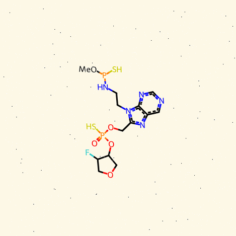 COP(S)NCCn1c(COP(=O)(S)OC2COCC2F)nc2cncnc21